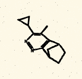 Cc1c(C2CC2)nnc2c1C1CCC2C1